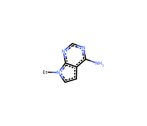 CCn1ccc2c(N)ncnc21